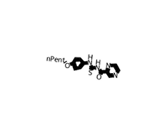 CCCCCOc1ccc(NC(=S)NC(=O)c2cnccn2)cc1